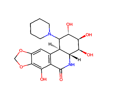 O=C1N[C@H]2[C@H](O)[C@H](O)[C@@H](O)C(N3CCCCC3)[C@@H]2c2cc3c(c(O)c21)OCO3